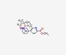 COC(=O)c1ccc(C23CNCC(C2)N3C(=O)OC(C)(C)C)c(C)n1